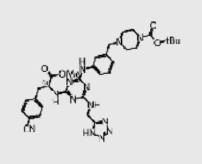 COC(=O)[C@H](Cc1ccc(C#N)cc1)Nc1nc(NCc2nnn[nH]2)nc(Nc2cccc(CN3CCN(C(=O)OC(C)(C)C)CC3)c2)n1